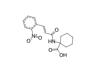 O=C(/C=C/c1ccccc1[N+](=O)[O-])NC1(C(=O)O)CCCCC1